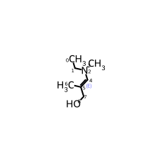 CCN(C)/C=C(\C)CO